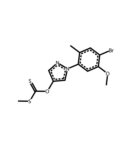 COc1cc(-n2cc(OC(=S)SC)cn2)c(C)cc1Br